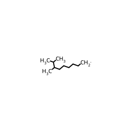 [CH2]CCCCCC(C)C(C)C